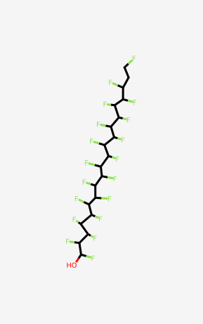 OC(F)C(F)C(F)C(F)C(F)C(F)C(F)C(F)C(F)C(F)C(F)C(F)C(F)C(F)C(F)C(F)C(F)C(F)CCF